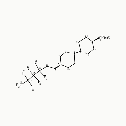 CCCCC[C@H]1CC[C@H]([C@H]2CC[C@H](CCC(F)(F)C(F)(F)C(F)(F)C(F)(F)F)CC2)CC1